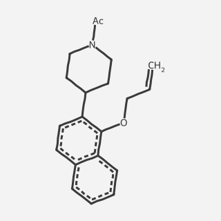 C=CCOc1c(C2CCN(C(C)=O)CC2)ccc2ccccc12